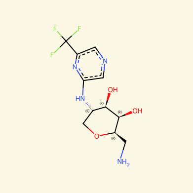 NC[C@H]1OC[C@H](Nc2cncc(C(F)(F)F)n2)[C@@H](O)[C@H]1O